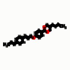 CCCCC1COC(c2ccc(OCC=CC3CCC(CCC)CC3)cc2)OC1